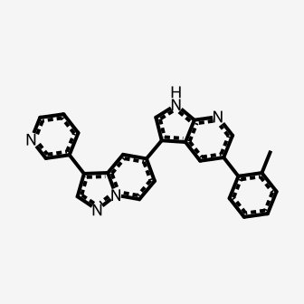 Cc1ccccc1-c1cnc2[nH]cc(-c3ccn4ncc(-c5cccnc5)c4c3)c2c1